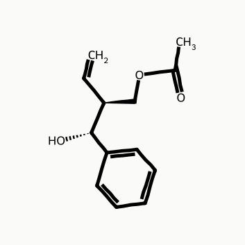 C=C[C@@H](COC(C)=O)[C@@H](O)c1ccccc1